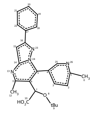 Cc1ccc(-c2c(C(OC(C)(C)C)C(=O)O)c(C)nc3cc(-c4ccccc4)nn23)cn1